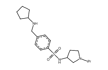 CC(C)N1CCC(NS(=O)(=O)c2ccc(CNC3CCCC3)cc2)C1